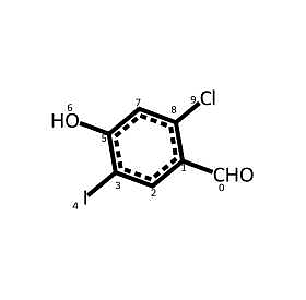 O=Cc1cc(I)c(O)cc1Cl